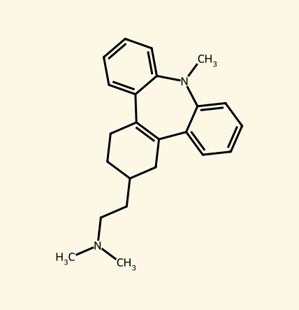 CN(C)CCC1CCC2=C(C1)c1ccccc1N(C)c1ccccc12